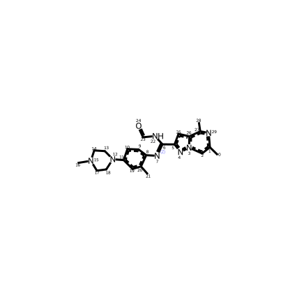 Cc1cn2nc(/C(=N/c3ccc(N4CCN(C)CC4)cc3C)NC=O)cc2c(C)n1